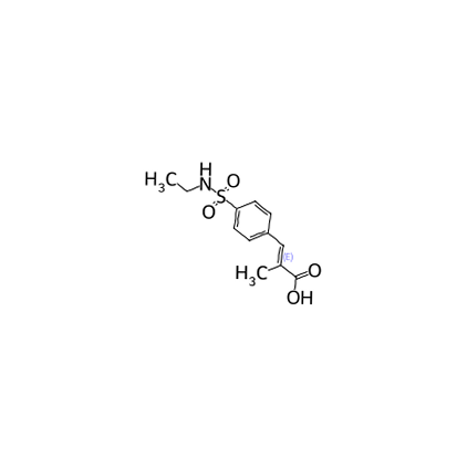 CCNS(=O)(=O)c1ccc(/C=C(\C)C(=O)O)cc1